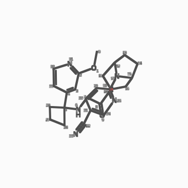 COc1cc(C2(NCC(=O)N3CC4CCC(C3)N4c3ccc(C#N)cn3)CCC2)ccn1